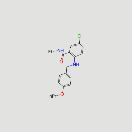 CCCOc1ccc(CNc2ccc(Cl)cc2C(=O)NCC)cc1